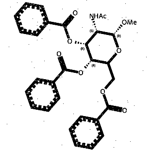 CO[C@@H]1OC(COC(=O)c2ccccc2)[C@H](OC(=O)c2ccccc2)[C@H](OC(=O)c2ccccc2)[C@@H]1NC(C)=O